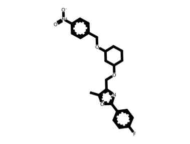 Cc1oc(-c2ccc(F)cc2)nc1COC1CCCC(OCc2ccc([N+](=O)[O-])cc2)C1